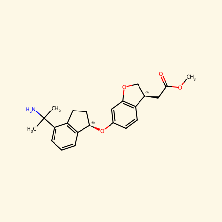 COC(=O)C[C@@H]1COc2cc(O[C@@H]3CCc4c3cccc4C(C)(C)N)ccc21